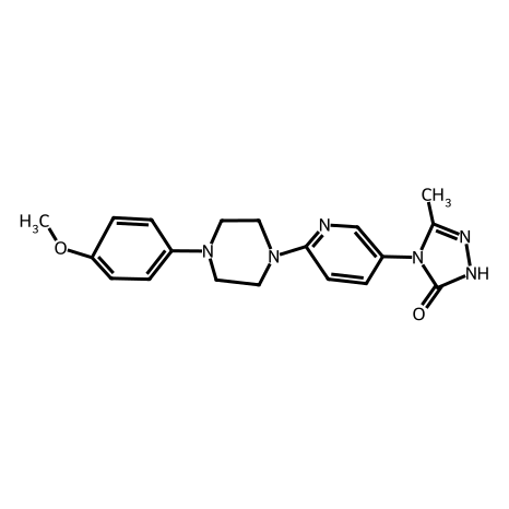 COc1ccc(N2CCN(c3ccc(-n4c(C)n[nH]c4=O)cn3)CC2)cc1